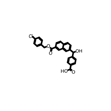 O=C(O)c1ccc(C(O)c2ccc3ccc(C(=O)OCc4ccc(Cl)cc4)cc3c2)cc1